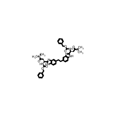 CN(C)C(=O)C[C@H](NC(=O)OCc1ccccc1)c1nc2cc(CCc3ccc4[nH]c([C@H](CC(=O)N(C)C)NC(=O)OCc5ccccc5)nc4c3)ccc2[nH]1